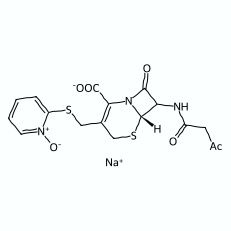 CC(=O)CC(=O)NC1C(=O)N2C(C(=O)[O-])=C(CSc3cccc[n+]3[O-])CS[C@@H]12.[Na+]